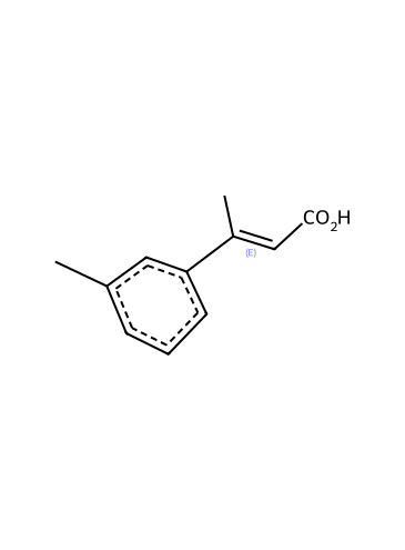 C/C(=C\C(=O)O)c1cccc(C)c1